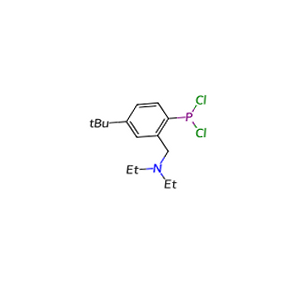 CCN(CC)Cc1cc(C(C)(C)C)ccc1P(Cl)Cl